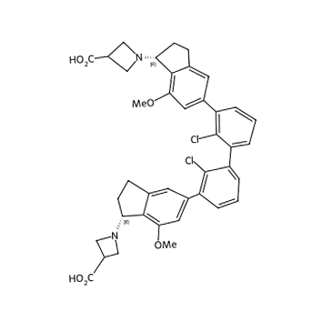 COc1cc(-c2cccc(-c3cccc(-c4cc5c(c(OC)c4)[C@H](N4CC(C(=O)O)C4)CC5)c3Cl)c2Cl)cc2c1[C@H](N1CC(C(=O)O)C1)CC2